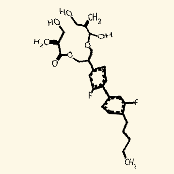 C=C(CO)C(=O)OCC(COC(O)C(=C)CO)c1ccc(-c2ccc(CCCCC)c(F)c2)c(F)c1